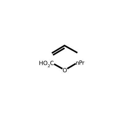 C=CC.CCCOC(=O)O